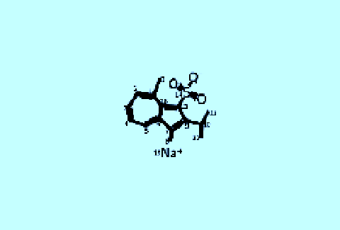 Cc1ccccc2c(C)c(C(C)C)c(S(=O)(=O)[O-])c1-2.[Na+]